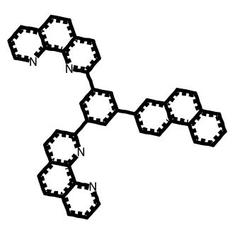 c1ccc2c(c1)ccc1cc(-c3cc(-c4ccc5ccc6cccnc6c5n4)cc(-c4ccc5ccc6cccnc6c5n4)c3)ccc12